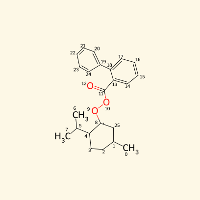 CC1CCC(C(C)C)[C](OOC(=O)c2ccccc2-c2ccccc2)C1